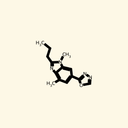 CCCc1nc2c(C)cc(-c3nnco3)cc2n1C